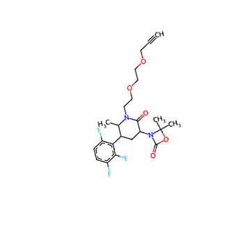 C#CCOCCOCCN1C(=O)C(N2C(=O)OC2(C)C)CC(c2c(F)ccc(F)c2F)C1C